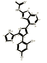 CC(=O)Nc1nc2c(-c3cc(-c4ccc(Cl)cc4Cl)c(-c4ncc[nH]4)s3)ncnc2s1